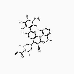 C=CC(=O)N1[C@H](C)CN(c2c(C#N)c(=O)n(-c3c(C)ccnc3C(C)C)c3nc(C4=C(F)[C@H](N)C(F)C(Cl)=C4Cl)c(Cl)cc23)C[C@@H]1C